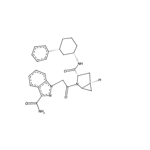 NC(=O)c1nn(CC(=O)N2C3C[C@@H]3C[C@H]2C(=O)N[C@H]2CCC[C@@H](c3ccccc3)C2)c2ccccc12